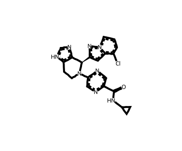 O=C(NC1CC1)c1cnc(N2CCc3[nH]cnc3[C@H]2c2cc3c(Cl)cccn3n2)cn1